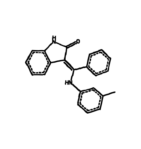 Cc1cccc(NC(=C2C(=O)Nc3ccccc32)c2ccccc2)c1